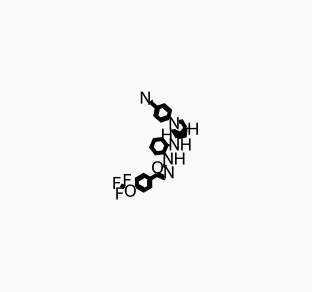 N#Cc1ccc(N2C[C@H]3CC(N[C@@H]4CCCC[C@H]4Nc4ncc(-c5ccc(OC(F)(F)F)cc5)o4)[C@H]2C3)cc1